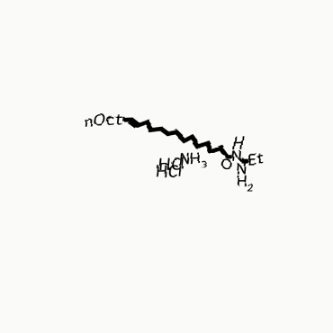 CCCCCCCCC=CCCCCCCCCCCCC(=O)NC(N)CC.Cl.Cl.N